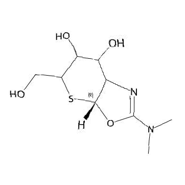 CN(C)C1=NC2C(O)C(O)C(CO)S[C@H]2O1